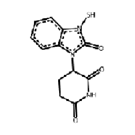 O=C1CCC(n2c(=O)n(S)c3ccccc32)C(=O)N1